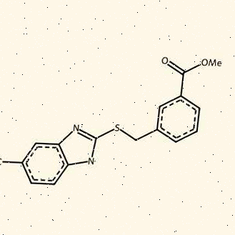 COC(=O)c1cccc(CSC2=Nc3cc(C#N)ccc3[N]2)c1